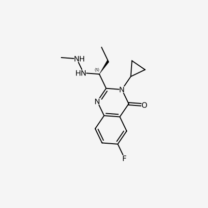 CC[C@H](NNC)c1nc2ccc(F)cc2c(=O)n1C1CC1